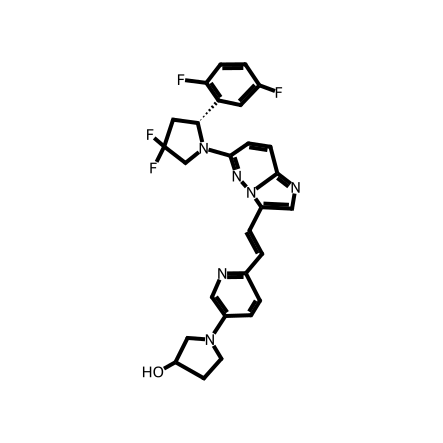 OC1CCN(c2ccc(/C=C/c3cnc4ccc(N5CC(F)(F)C[C@@H]5c5cc(F)ccc5F)nn34)nc2)C1